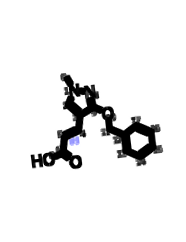 Cn1cc(/C=C/C(=O)O)c(OCc2ccccc2)n1